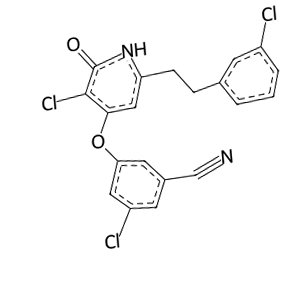 N#Cc1cc(Cl)cc(Oc2cc(CCc3cccc(Cl)c3)[nH]c(=O)c2Cl)c1